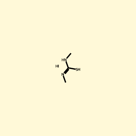 C/N=C(\S)NC.I